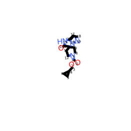 O=C(OCC1CC1)N1CCC2(CC1)C(=O)Nc1ccnn12